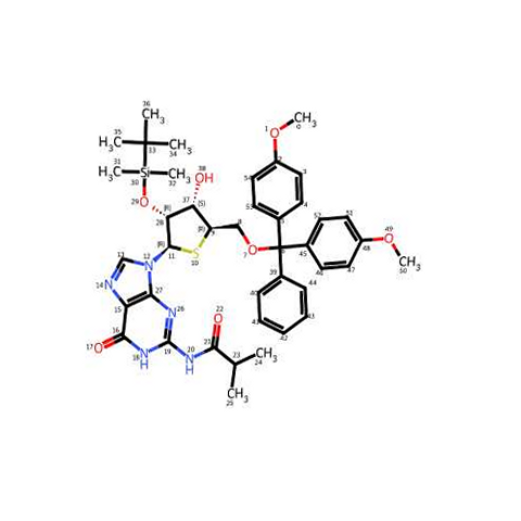 COc1ccc(C(OC[C@H]2S[C@@H](n3cnc4c(=O)[nH]c(NC(=O)C(C)C)nc43)[C@H](O[Si](C)(C)C(C)(C)C)[C@@H]2O)(c2ccccc2)c2ccc(OC)cc2)cc1